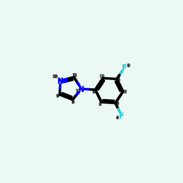 Fc1cc(F)cc(-n2ccnc2)c1